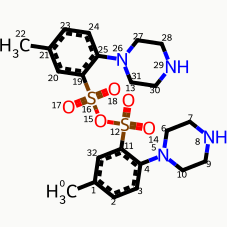 Cc1ccc(N2CCNCC2)c(S(=O)(=O)OS(=O)(=O)c2cc(C)ccc2N2CCNCC2)c1